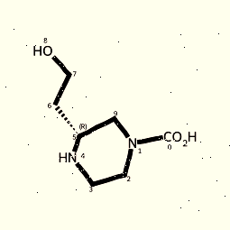 O=C(O)N1CCN[C@H](CCO)C1